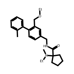 CCOCc1cc(CNC(=O)C2(N(C)CC)CCCC2)ccc1-c1ccccc1C